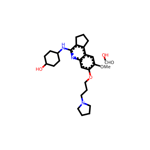 COc1cc2c3c(c(NC4CCC(O)CC4)nc2cc1OCCCN1CCCC1)CCC3.O=CO